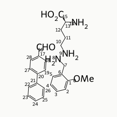 COc1ccccc1CN.NCCC[C@H](N)C(=O)O.O=Cc1ccc(-c2ccccc2)cc1